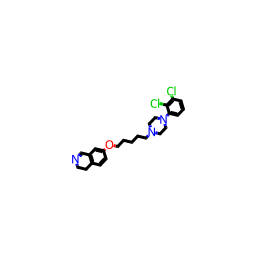 Clc1cccc(N2CCN(CCCCCOc3ccc4c(c3)C=NCC4)CC2)c1Cl